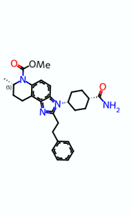 COC(=O)N1c2ccc3c(nc(CCc4ccccc4)n3[C@H]3CC[C@@H](C(N)=O)CC3)c2CC[C@@H]1C